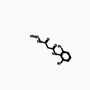 CCCCCCCNC(=O)CC(=O)Nc1c(C(C)C)cccc1C(C)C